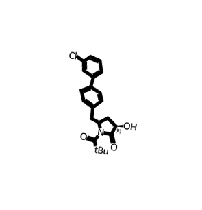 CC(C)(C)C(=O)N1C(=O)[C@H](O)CC1Cc1ccc(-c2cccc(Cl)c2)cc1